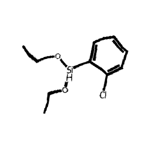 CCO[SiH](OCC)c1ccccc1Cl